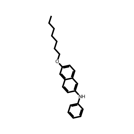 CCCCCCCOc1ccc2cc(Nc3ccccc3)ccc2c1